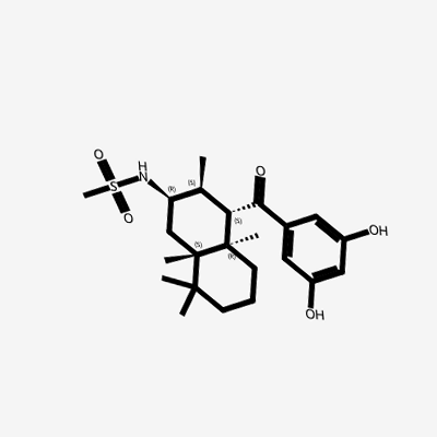 C[C@@H]1[C@H](NS(C)(=O)=O)C[C@@]2(C)C(C)(C)CCC[C@]2(C)[C@H]1C(=O)c1cc(O)cc(O)c1